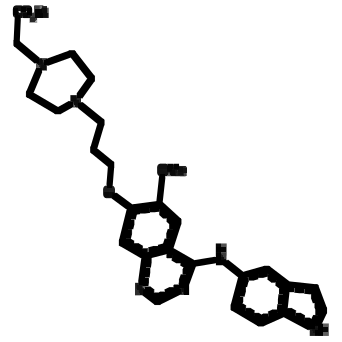 CCOC(=O)CN1CCN(CCCOc2cc3ncnc(Nc4ccc5[nH]ccc5c4)c3cc2OC)CC1